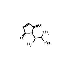 CC(C(C)C(C)(C)C)N1C(=O)C=CC1=O